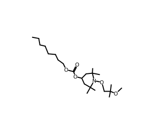 CCCCCCCCOC(=O)OC1CC(C)(C)N(OCC(C)(C)OC)C(C)(C)C1